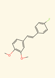 COc1ccc(/C=C/c2ccc(F)cc2)cc1OC